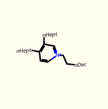 CCCCCCCCCCCC[n+]1ccc(CCCCCCC)c(CCCCCCC)c1